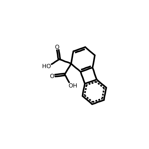 O=C(O)C1(C(=O)O)C=CCC2=C1c1ccccc12